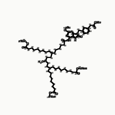 CCCCCCCCCOC(=O)CCCCCCCCN(CCCCCCCCC(=O)OCCCCCCCCC)CCN(C)CCN(CCCCCCCCC(=O)OCCCCCCCCC)CCCCCC(=O)Nc1nc(OCCCC)nc2c1[nH]c(=O)n2Cc1cccc(CC(=O)OC)c1